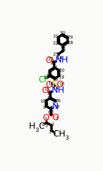 CCCC(C)OC(=O)c1ccc(C(=O)NS(=O)(=O)c2ccc(C(=O)NCCc3ccccc3)cc2Cl)cn1